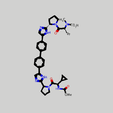 COC(=O)NC(C(=O)N1CCCC1c1ncc(-c2ccc(-c3ccc(-c4cnc([C@@H]5CCCN5C(=O)[C@H](C(C)C)N(C)C(=O)O)[nH]4)cc3)cc2)[nH]1)C1CC1